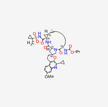 COc1ccc2c3c(c(C4CC4)nc2c1)O[C@]1(CC3)C[C@H]2C(=O)N[C@]3(C(=O)NS(=O)(=O)C4(C)CC4)C[C@H]3/C=C\CCCCC[C@H](NC(=O)OC(C)C)C(=O)N2C1